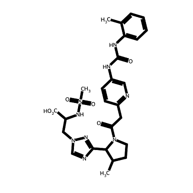 Cc1ccccc1NC(=O)Nc1ccc(CC(=O)N2CCC(C)C2c2ncn(CC(NS(C)(=O)=O)C(=O)O)n2)nc1